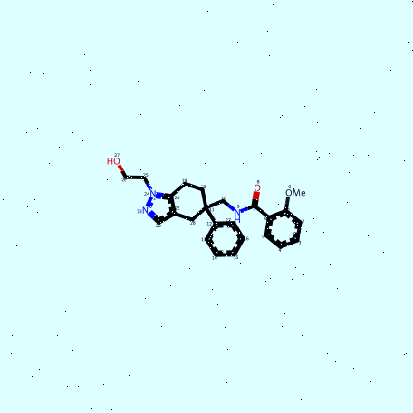 COc1ccccc1C(=O)NCC1(c2ccccc2)CCc2c(cnn2CCO)C1